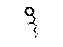 O=C(Cc1ccccc1)OCOI